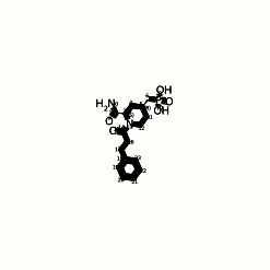 NC(=O)[C@@H]1C[C@H](CP(=O)(O)O)CCN1C(=O)CCc1ccccc1